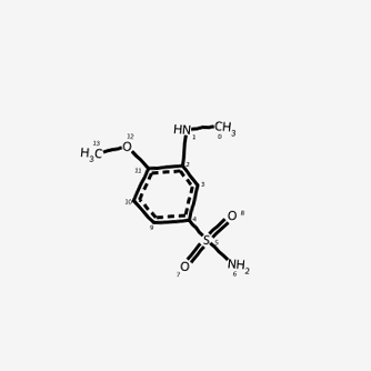 CNc1cc(S(N)(=O)=O)ccc1OC